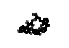 CC(c1cnc(-c2cc(Oc3c(F)cc4[nH]ccc4c3C(F)C(F)F)ccc2F)[nH]1)c1cccc(CCC(=O)O)c1F